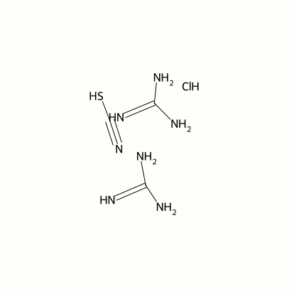 Cl.N#CS.N=C(N)N.N=C(N)N